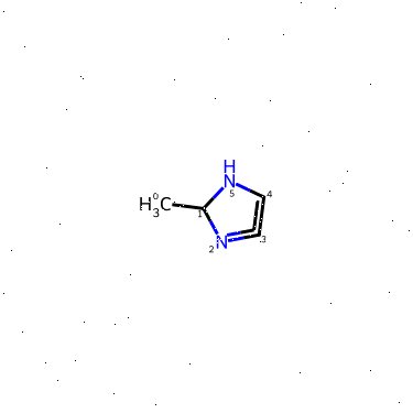 CC1N=C=CN1